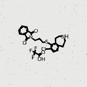 O=C(O)C(F)(F)F.O=C1c2ccccc2C(=O)N1CCCSc1c(Cl)ccc2c1CCNCC2